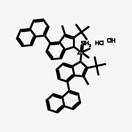 CC1=C(C(C)(C)C)[CH]([Zr]([CH3])([CH3])(=[SiH2])[CH]2C(C(C)(C)C)=C(C)c3c(-c4cccc5ccccc45)cccc32)c2cccc(-c3cccc4ccccc34)c21.Cl.Cl